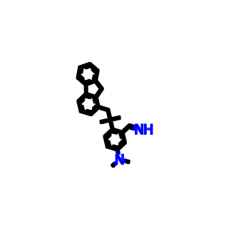 CN(C)c1ccc(C(C)(C)Cc2cccc3c2Cc2ccccc2-3)c(C=N)c1